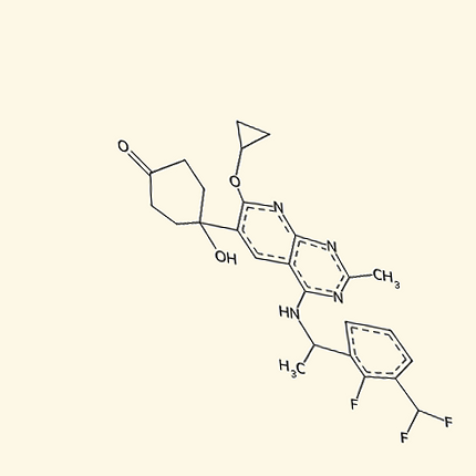 Cc1nc(NC(C)c2cccc(C(F)F)c2F)c2cc(C3(O)CCC(=O)CC3)c(OC3CC3)nc2n1